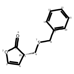 O=C1OC=C[C@H]1CSCc1ccccc1